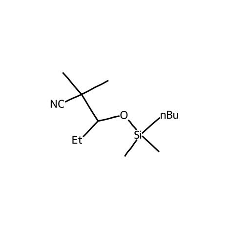 CCCC[Si](C)(C)OC(CC)C(C)(C)C#N